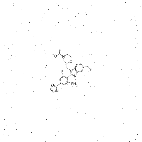 C=C(OC)N1CCOC(Cc2c(-c3c(F)cc(-c4ncco4)cc3P)nc3cc(CF)ccn23)C1